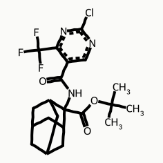 CC(C)(C)OC(=O)C1(NC(=O)c2cnc(Cl)nc2C(F)(F)F)C2CC3CC(C2)CC1C3